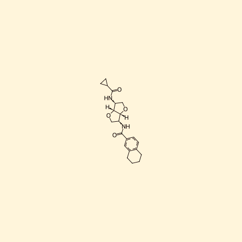 O=C(N[C@H]1CO[C@H]2[C@@H]1OC[C@@H]2NC(=O)C1CC1)c1ccc2c(c1)CCCC2